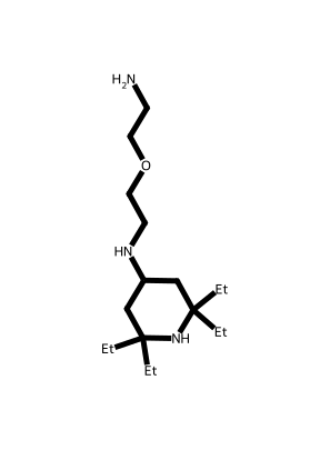 CCC1(CC)CC(NCCOCCN)CC(CC)(CC)N1